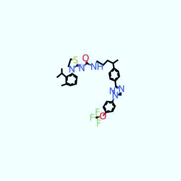 Cc1cccc(N2CCS/C2=N\C(=O)NCCCC(C)c2ccc(-c3ncn(-c4ccc(OC(F)(F)F)cc4)n3)cc2)c1C(C)C